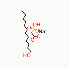 CCCCCCCCCCCCO.O=C([O-])CS(=O)(=O)O.[Na+]